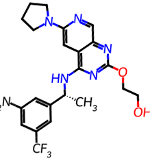 C[C@@H](Nc1nc(OCCO)nc2cnc(N3CCCC3)cc12)c1cc([N+](=O)[O-])cc(C(F)(F)F)c1